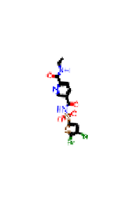 CCNC(=O)c1ccc(C(=O)NS(=O)(=O)c2cc(Br)c(Br)s2)cn1